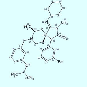 CC(C)Oc1cccc(CN2CC[C@@]3(C[C@@H]2C)/C(=N/C2CCCCC2)N(C)C(=O)N3c2cccc(F)c2)c1